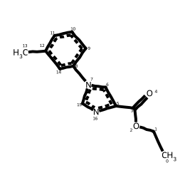 CCOC(=O)c1cn(-c2cccc(C)c2)cn1